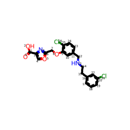 O=C(O)c1coc(COc2cc(CNCCc3cccc(Cl)c3)ccc2Cl)n1